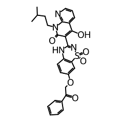 CC(C)CCn1c(=O)c(C2=NS(=O)(=O)c3cc(OCC(=O)c4ccccc4)ccc3N2)c(O)c2cccnc21